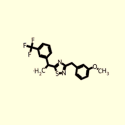 [CH2]C(c1cccc(C(F)(F)F)c1)c1nc(Cc2cccc(OC)c2)ns1